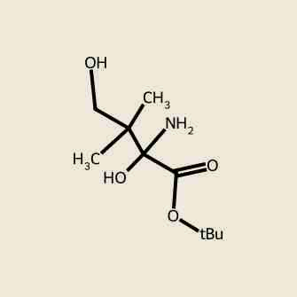 CC(C)(C)OC(=O)C(N)(O)C(C)(C)CO